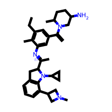 C=C(c1cc(CC)c(C)c(/N=C(\C)C2Cc3cccc(C4CN(C)C4)c3N2C2CC2)c1)N1CC(N)CCC1C